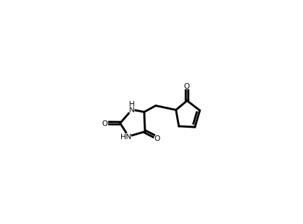 O=C1NC(=O)C(CC2CC=CC2=O)N1